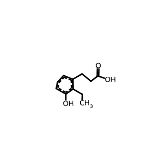 CCc1c(O)cccc1CCC(=O)O